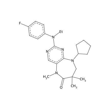 CCN(c1ccc(F)cc1)c1ncc2c(n1)N(C1CCCC1)CC(C)(C)C(=O)N2C